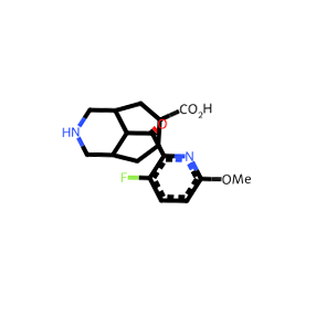 COc1ccc(F)c(C(=O)C2C3CCC(C(=O)O)CC2CNC3)n1